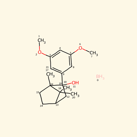 B.COc1cc(OC)cc(C2(O)CC3CCC2(C)C3(C)C)c1